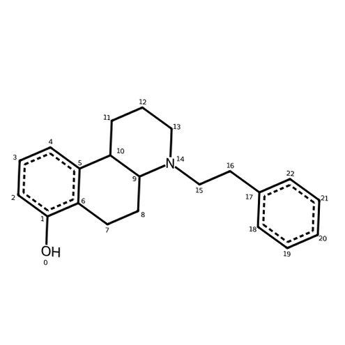 Oc1cccc2c1CCC1C2CCCN1CCc1ccccc1